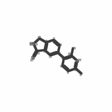 Cc1ccc(-c2ccc3c(c2)C(=O)NC3)c(C)n1